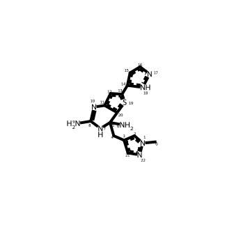 Cn1cc(CC2(N)NC(N)=Nc3cc(-c4ccn[nH]4)sc32)cn1